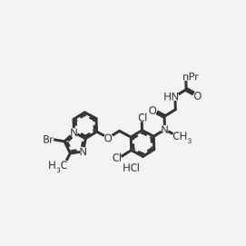 CCCC(=O)NCC(=O)N(C)c1ccc(Cl)c(COc2cccn3c(Br)c(C)nc23)c1Cl.Cl